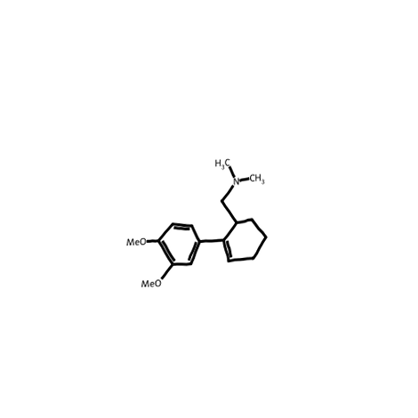 COc1ccc(C2=CCCCC2CN(C)C)cc1OC